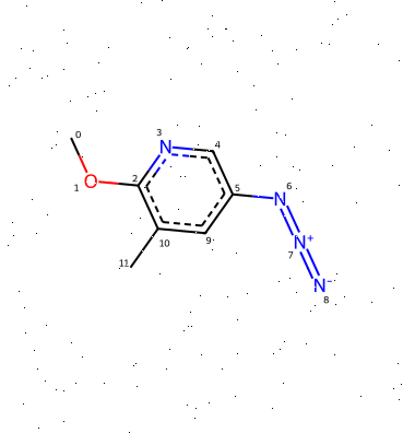 COc1ncc(N=[N+]=[N-])cc1C